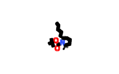 CCCCC[C@H]1CCC[C@H](C)N1C(=O)OC(C)(C)C